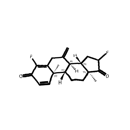 C=C1CC2=C(F)C(=O)C=C[C@]2(C)[C@H]2CC[C@]3(C)C(=O)C(F)C[C@H]3[C@H]12